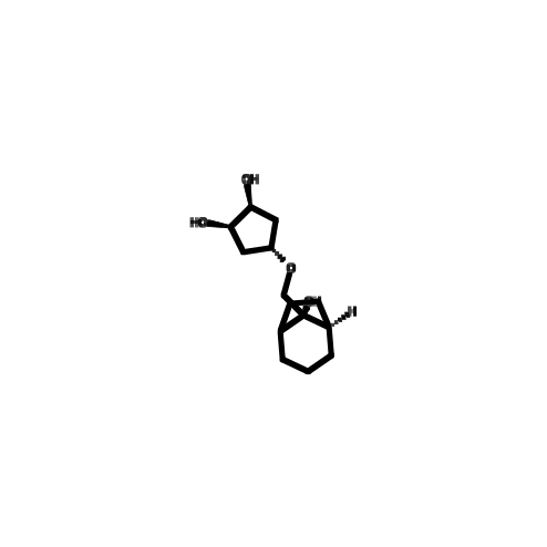 O[C@@H]1C[C@@H](OC[C@@]2(O)C3CCC[C@@H]2CC3)C[C@@H]1O